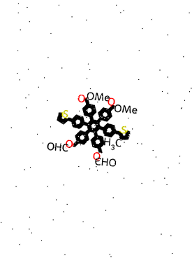 COC(=O)c1ccc(-c2c(-c3ccc(C(=O)OC)cc3)c(-c3ccc(-c4sccc4C)cc3)c(-c3ccc(COC=O)cc3)c(-c3ccc(COC=O)cc3)c2-c2ccc(-c3cccs3)cc2)cc1